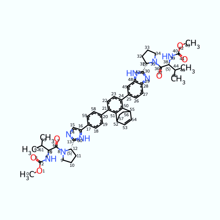 COC(=O)N[C@H](C(=O)N1CCC[C@H]1c1ncc(-c2ccc(-c3ccc(-c4ccc5nc([C@@H]6CCCN6C(=O)[C@@H](NC(=O)OC)C(C)C)[nH]c5c4)c4c3C3C=CC4CC3)cc2)[nH]1)C(C)C